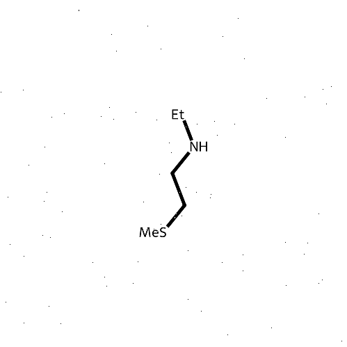 CCNCCSC